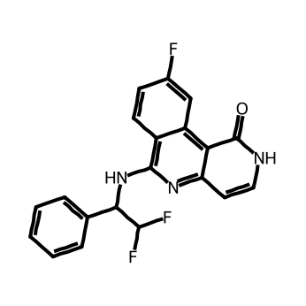 O=c1[nH]ccc2nc(NC(c3ccccc3)C(F)F)c3ccc(F)cc3c12